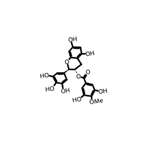 COc1c(O)cc(C(=O)O[C@H]2Cc3c(O)cc(O)cc3O[C@@H]2c2cc(O)c(O)c(O)c2)cc1O